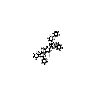 CC1(C2=CCCC=C2)N=C(c2ccccc2)NC(C2=CC=C(C3=NC(c4ccccc4)NC(C4=CC(c5ccccc5)CC=C4)=N3)CC2)N1